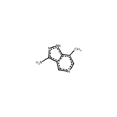 Cc1cncc2c(N)n[nH]c12